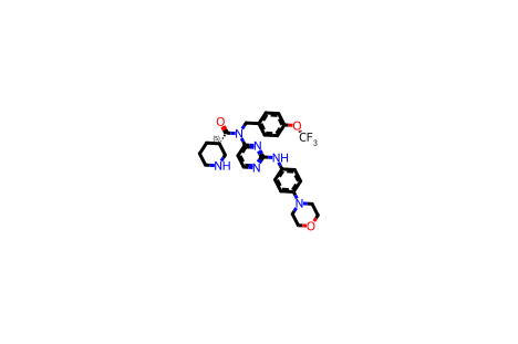 O=C([C@H]1CCCNC1)N(Cc1ccc(OC(F)(F)F)cc1)c1ccnc(Nc2ccc(N3CCOCC3)cc2)n1